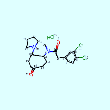 CN(C(=O)Cc1ccc(Cl)c(Cl)c1)C1CCC(=O)CC1N1CCCC1.Cl